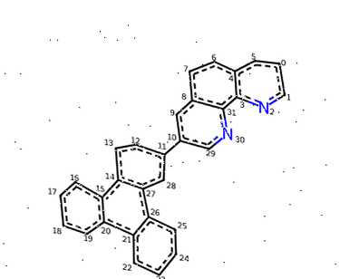 c1cnc2c(c1)ccc1cc(-c3ccc4c5ccccc5c5ccccc5c4c3)cnc12